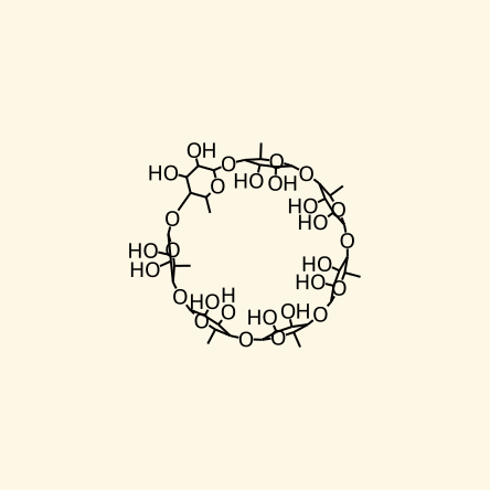 CC1OC2OC3C(C)OC(OC4C(C)OC(OC5C(C)OC(OC6C(C)OC(OC7C(C)OC(OC8C(C)OC(OC1C(O)C2O)C(O)C8O)C(O)C7O)C(O)C6O)C(O)C5O)C(O)C4O)C(O)C3O